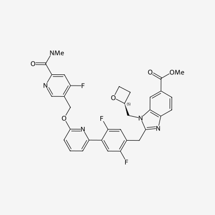 CNC(=O)c1cc(F)c(COc2cccc(-c3cc(F)c(Cc4nc5ccc(C(=O)OC)cc5n4C[C@@H]4CCO4)cc3F)n2)cn1